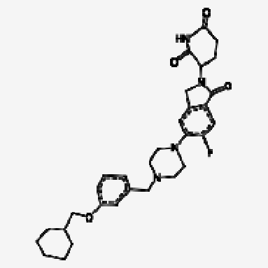 O=C1CCC(N2Cc3cc(N4CCN(Cc5cccc(OCC6CCCCC6)c5)CC4)c(F)cc3C2=O)C(=O)N1